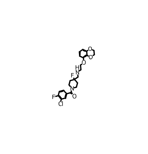 O=C(c1ccc(F)c(Cl)c1)N1CCC(F)(CNCCOc2cccc3c2OCCO3)CC1